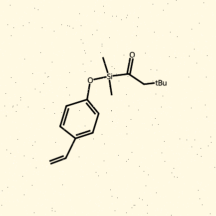 C=Cc1ccc(O[Si](C)(C)C(=O)CC(C)(C)C)cc1